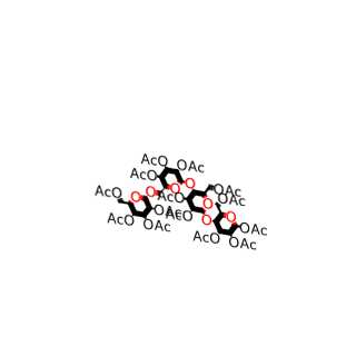 CC(=O)OC[C@H]1O[C@H](OC[C@H]2O[C@H](O[C@H]3[C@H](OC(C)=O)[C@@H](OC(C)=O)[C@H](O[C@H]4[C@H](OC(C)=O)[C@@H](OC(C)=O)[C@H](OC(C)=O)O[C@@H]4COC(C)=O)O[C@@H]3COC(C)=O)[C@H](OC(C)=O)[C@@H](OC(C)=O)[C@@H]2OC(C)=O)[C@H](OC(C)=O)[C@@H](OC(C)=O)[C@@H]1OC(C)=O